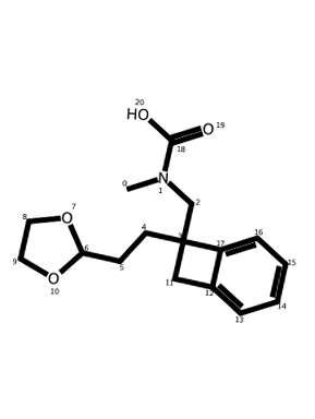 CN(CC1(CCC2OCCO2)Cc2ccccc21)C(=O)O